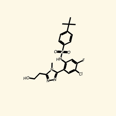 Cn1c(CCO)nnc1-c1cc(Cl)c(F)cc1NS(=O)(=O)c1ccc(C(C)(C)C)cc1